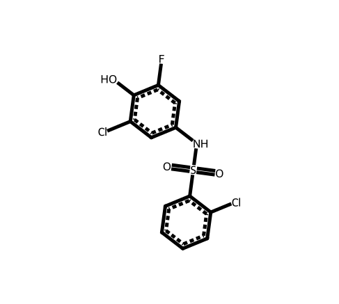 O=S(=O)(Nc1cc(F)c(O)c(Cl)c1)c1ccccc1Cl